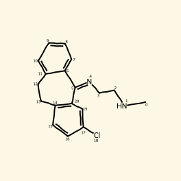 CNCC/N=C1/c2ccccc2CCc2ccc(Cl)cc21